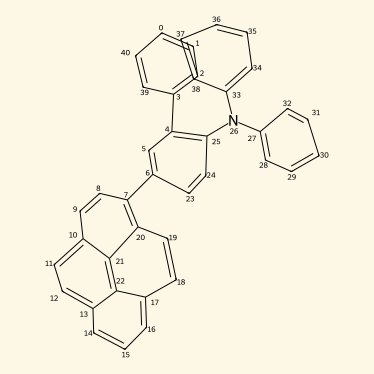 c1ccc(-c2cc(-c3ccc4ccc5cccc6ccc3c4c56)ccc2N(c2ccccc2)c2ccccc2)cc1